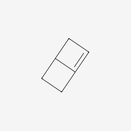 C1=C2CCC2C1